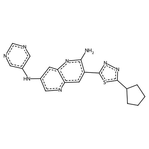 Nc1nc2cc(Nc3cncnc3)cnc2cc1-c1nnc(C2CCCC2)s1